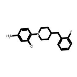 Nc1ccc(N2CCC(Cc3ccccc3F)CC2)c(Cl)c1